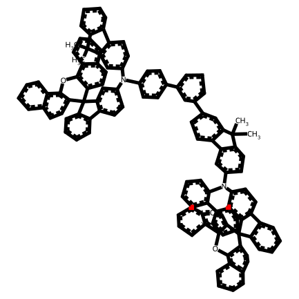 CC1(C)c2ccc(N(c3ccc4c(c3)C3(c5ccccc5-4)c4ccc5ccccc5c4Oc4c3ccc3ccccc43)c3ccccc3-c3ccccc3)cc2-c2ccc(-c3cccc(-c4ccc(N(c5ccc6c(c5)C(C)(C)c5ccccc5-6)c5ccc6c(c5)C5(c7ccccc7-6)c6ccc7ccccc7c6Oc6c5ccc5ccccc65)cc4)c3)cc21